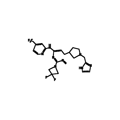 C=N/C(=N\C(=C/CC1CCN(Cc2ncc[nH]2)C1)Nc1cc(C(F)(F)F)ccn1)N1CC(F)(F)C1